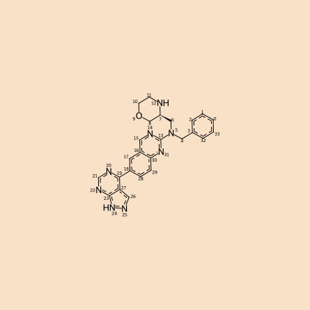 c1ccc(CN(C[C@H]2COCCN2)c2ncc3cc(-c4ncnc5[nH]ncc45)ccc3n2)cc1